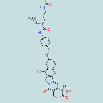 CCc1c2c(nc3ccc(OCc4ccc(NC(=O)C(CCCNC(N)=O)NC(=O)O)cc4)cc13)-c1cc3c(c(=O)n1C2)COC(=O)[C@]3(O)CC